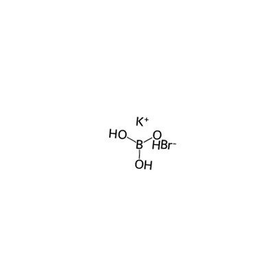 OB(O)O.[Br-].[K+]